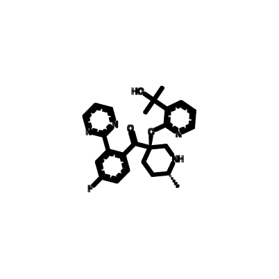 C[C@@H]1CC[C@](Oc2ncccc2C(C)(C)O)(C(=O)c2ccc(F)cc2-c2ncccn2)CN1